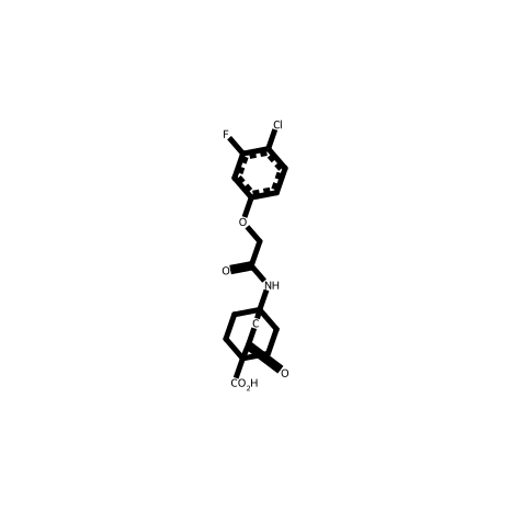 O=C(COc1ccc(Cl)c(F)c1)NC12CCC(C(=O)O)(CC1)C(=O)C2